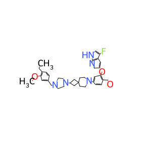 CCc1ccc(CN2CCN(C3CC4(CCN(c5ccc(C=O)c(Oc6cnc7[nH]cc(F)c7c6)c5)CC4)C3)CC2)cc1OC